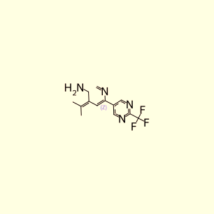 C=N/C(=C\C(CN)=C(C)C)c1cnc(C(F)(F)F)nc1